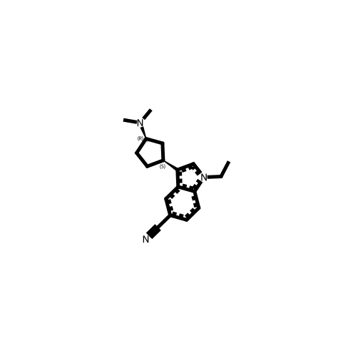 CCn1cc([C@H]2CC[C@@H](N(C)C)C2)c2cc(C#N)ccc21